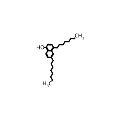 CCCCCCCCc1ccc2c(O)ccc(CCCCCCCC)c2c1